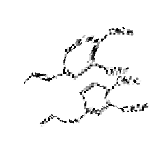 C=CCc1ccc(OC)c(OC)c1.CC=Cc1ccc(OC)c(OC)c1